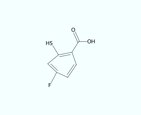 O=C(O)c1ccc(F)cc1S